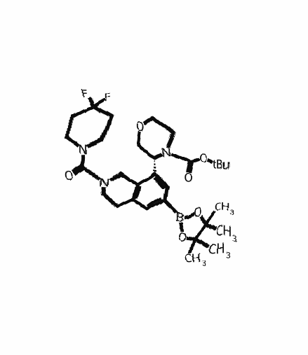 CC(C)(C)OC(=O)N1CCOC[C@H]1c1cc(B2OC(C)(C)C(C)(C)O2)cc2c1CN(C(=O)N1CCC(F)(F)CC1)CC2